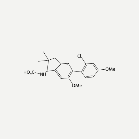 COc1ccc(-c2cc3c(cc2OC)C(NC(=O)O)C(C)(C)C3)c(Cl)c1